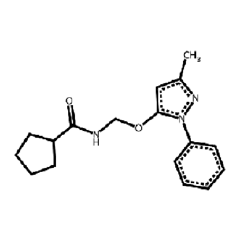 Cc1cc(OCNC(=O)C2CCCC2)n(-c2ccccc2)n1